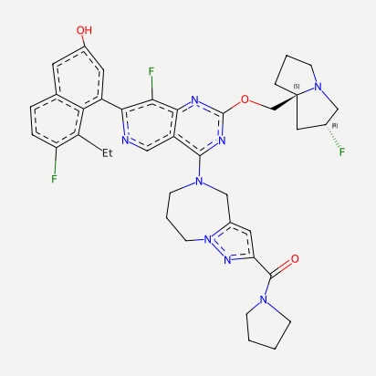 CCc1c(F)ccc2cc(O)cc(-c3ncc4c(N5CCCn6nc(C(=O)N7CCCC7)cc6C5)nc(OC[C@@]56CCCN5C[C@H](F)C6)nc4c3F)c12